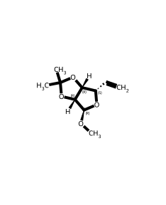 C=C[C@@H]1O[C@@H](OC)[C@@H]2OC(C)(C)O[C@@H]21